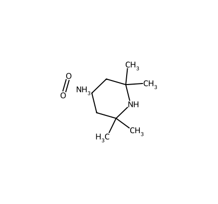 CC1(C)CCCC(C)(C)N1.N.O=O